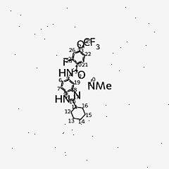 CNC.O=C(Nc1ccc2[nH]c(C3CCCCC3)nc2c1)c1ccc(OC(F)(F)F)cc1F